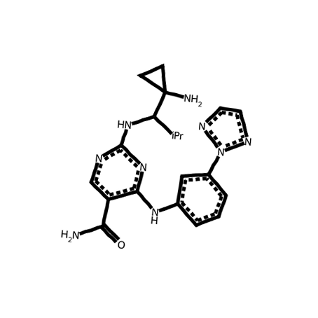 CC(C)C(Nc1ncc(C(N)=O)c(Nc2cccc(-n3nccn3)c2)n1)C1(N)CC1